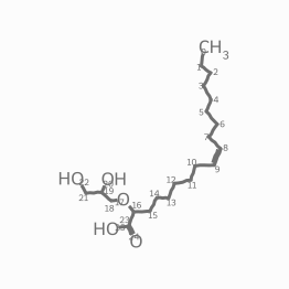 CCCCCCCC/C=C\CCCCCCC(OCC(O)CO)C(=O)O